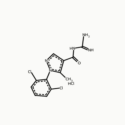 Cc1c(C(=O)NC(=N)N)cnn1-c1c(Cl)cccc1Cl.Cl